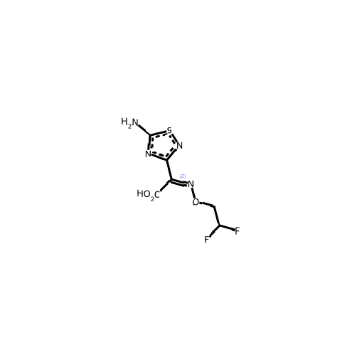 Nc1nc(/C(=N/OCC(F)F)C(=O)O)ns1